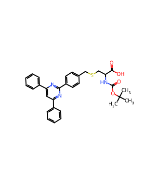 CC(C)(C)OC(=O)NC(CSCc1ccc(-c2nc(-c3ccccc3)cc(-c3ccccc3)n2)cc1)C(=O)O